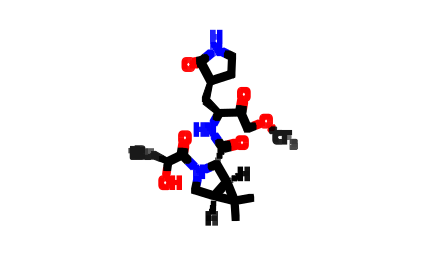 CC(C)(C)[C@H](O)C(=O)N1C[C@H]2[C@@H]([C@H]1C(=O)N[C@@H](C[C@@H]1CCNC1=O)C(=O)COC(F)(F)F)C2(C)C